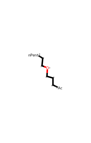 CCCCCCCOCCCC(C)=O